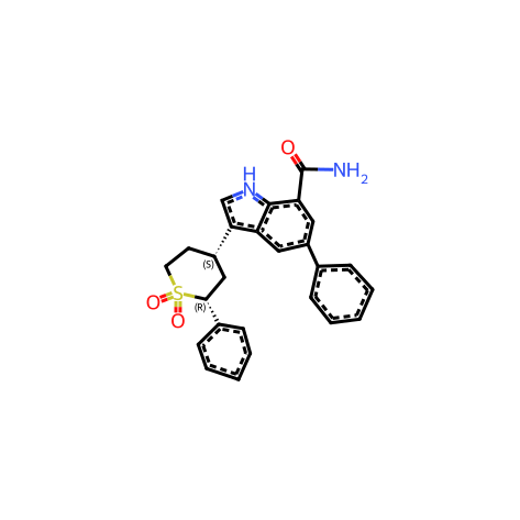 NC(=O)c1cc(-c2ccccc2)cc2c([C@H]3CCS(=O)(=O)[C@@H](c4ccccc4)C3)c[nH]c12